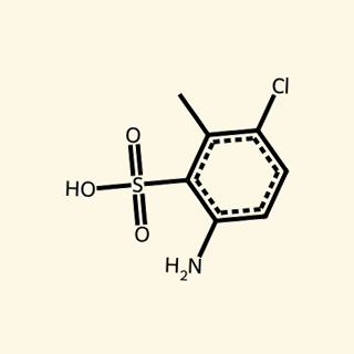 Cc1c(Cl)ccc(N)c1S(=O)(=O)O